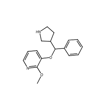 COc1ncccc1OC(c1ccccc1)C1CCNC1